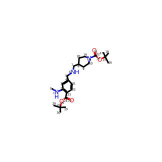 CNc1cc(CNCC2CCN(C(=O)OC(C)(C)C)CC2)ccc1C(=O)OC(C)(C)C